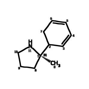 C[C@]1(C2C=CC=CC2)CCCN1